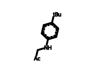 CC(=O)CNc1ccc(C(C)(C)C)cc1